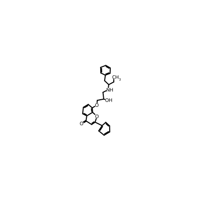 CCC(Cc1ccccc1)NCC(O)COc1cccc2c(=O)cc(-c3ccccc3)oc12